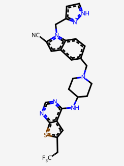 N#Cc1cc2cc(CN3CCC(Nc4ncnc5sc(CC(F)(F)F)cc45)CC3)ccc2n1Cc1cc[nH]n1